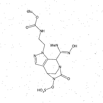 CN/C(=N\O)C1c2c(cnn2CCNC(=O)OC(C)(C)C)C2CN1C(=O)N2OS(=O)(=O)O